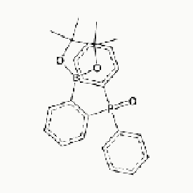 CC1(C)OB(c2ccccc2P(=O)(c2ccccc2)c2ccccc2)OC1(C)C